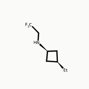 CC[C@H]1C[C@@H](NCC(F)(F)F)C1